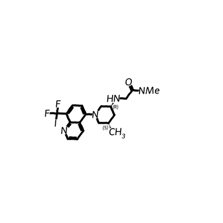 CNC(=O)CN[C@@H]1C[C@H](C)CN(c2ccc(C(F)(F)I)c3ncccc23)C1